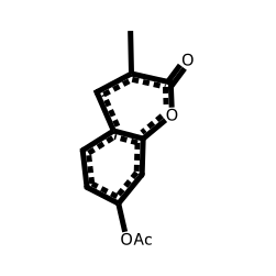 CC(=O)Oc1ccc2cc(C)c(=O)oc2c1